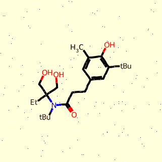 CCC(CO)(CO)N(C(=O)CCc1cc(C)c(O)c(C(C)(C)C)c1)C(C)(C)C